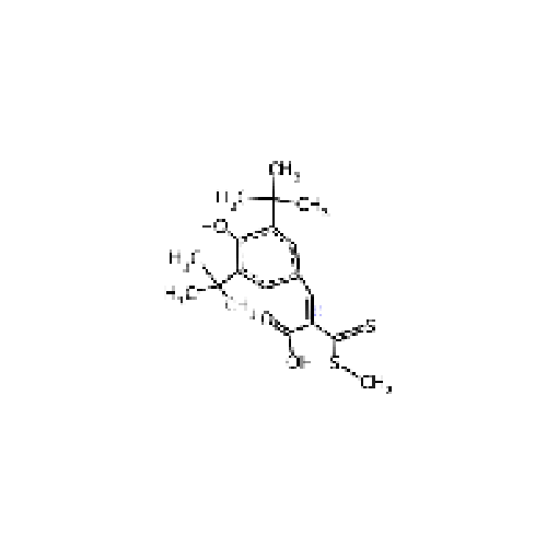 CSC(=S)/C(=C/c1cc(C(C)(C)C)c(O)c(C(C)(C)C)c1)C(=O)O